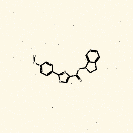 CCOc1ccc(-c2nc(C(=O)OC3CCc4ccccc43)cs2)cc1